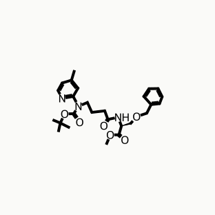 COC(=O)[C@H](COCc1ccccc1)NC(=O)CCCN(C(=O)OC(C)(C)C)c1cc(C)ccn1